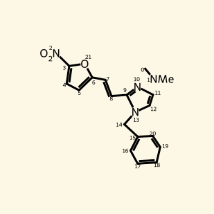 CNC.O=[N+]([O-])c1ccc(C=Cc2nccn2Cc2ccccc2)o1